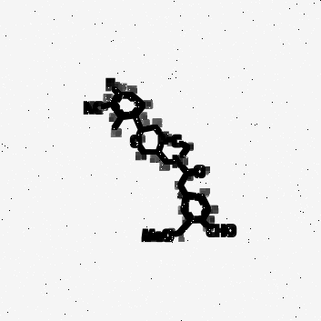 COCc1cc(CC(=O)N2CCN3CC(c4ccc(F)c(C#N)c4C)OCC3C2)ccc1C=O